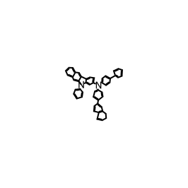 C1=Cc2ccc(-c3ccc(N(c4ccc(-c5ccccc5)cc4)c4ccc5c6cc7ccccc7cc6n(-c6ccccc6)c5c4)cc3)cc2CC1